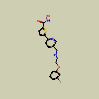 O=C(NO)c1ccc(-c2ccc(CNCCOc3cccc(F)c3)cn2)s1